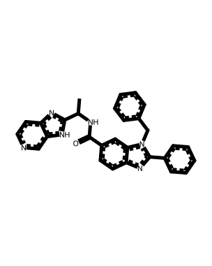 CC(NC(=O)c1ccc2nc(-c3ccccc3)n(Cc3ccccc3)c2c1)c1nc2ccncc2[nH]1